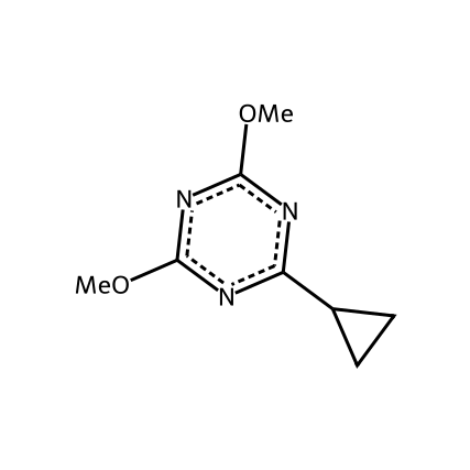 COc1nc(OC)nc(C2CC2)n1